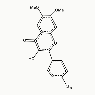 COc1cc2oc(-c3ccc(C(F)(F)F)cc3)c(O)c(=O)c2cc1OC